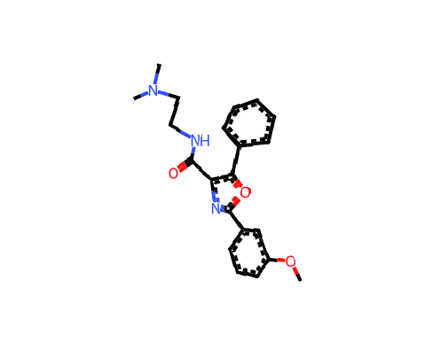 COc1cccc(-c2nc(C(=O)NCCN(C)C)c(-c3ccccc3)o2)c1